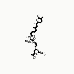 CC1=CC[C@@H]([C@@H](C)/C=C(C)/C=C\C=C/C(=O)N[C@H](C(=O)N/C=C\C[C@@H](C/C=C(\C)Cl)OC(N)=O)C(C)(C)C)OC1=O